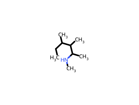 CCC(C)C(C)C(C)NC